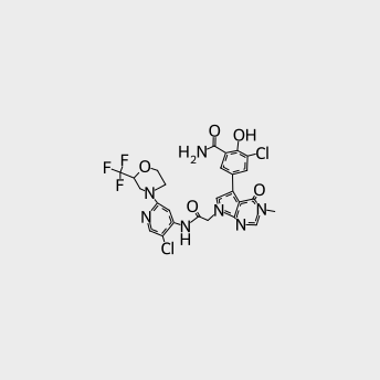 Cn1cnc2c(c(-c3cc(Cl)c(O)c(C(N)=O)c3)cn2CC(=O)Nc2cc(N3CCOC(C(F)(F)F)C3)ncc2Cl)c1=O